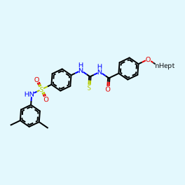 CCCCCCCOc1ccc(C(=O)NC(=S)Nc2ccc(S(=O)(=O)Nc3cc(C)cc(C)c3)cc2)cc1